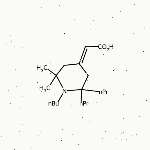 CCCCN1C(C)(C)CC(=CC(=O)O)CC1(CCC)CCC